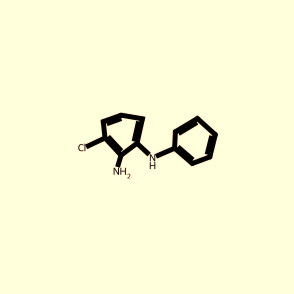 Nc1c(Cl)cccc1Nc1ccccc1